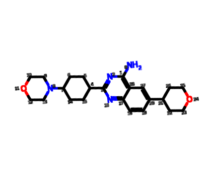 Nc1nc(C2CCC(N3CCOCC3)CC2)nc2ccc(C3CCOCC3)cc12